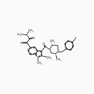 Cc1c(C(=O)N2C[C@H](C)N(Cc3ccc(F)cc3)C[C@H]2C)c2cc(C(=O)C(=O)N(C)C)ccc2n1C